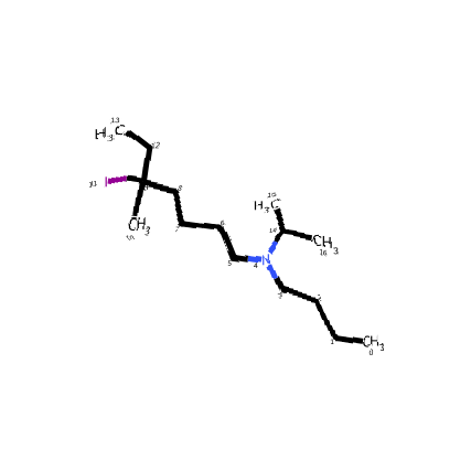 CCCCN(CCCCC(C)(I)CC)C(C)C